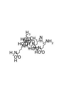 CC(=O)O.CC(=O)O.CC(=O)O.NCCCC[C@H](N)C(=O)O.NCCCC[C@H](N)C(=O)O.NCCCC[C@H](N)C(=O)O